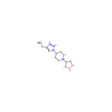 CC(C)(C)Cc1cn(C2CCN(C3CCOC3)CC2)nn1